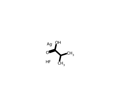 CC(C)C(=O)O.F.[Ag]